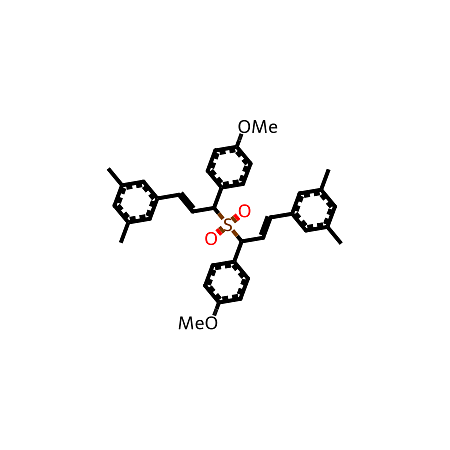 COc1ccc(C(C=Cc2cc(C)cc(C)c2)S(=O)(=O)C(C=Cc2cc(C)cc(C)c2)c2ccc(OC)cc2)cc1